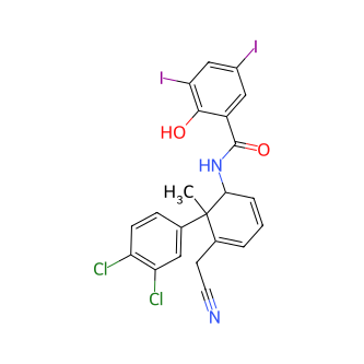 CC1(c2ccc(Cl)c(Cl)c2)C(CC#N)=CC=CC1NC(=O)c1cc(I)cc(I)c1O